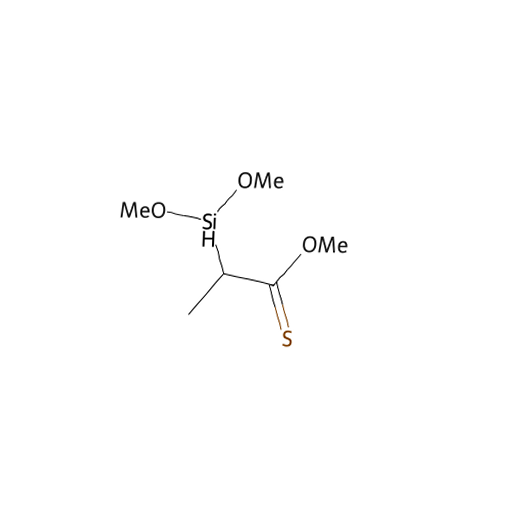 COC(=S)C(C)[SiH](OC)OC